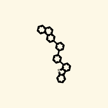 c1cc(-c2cccc(-c3cccc4c3sc3ccccc34)c2)cc(-c2ccc3c(ccc4ccccc43)c2)c1